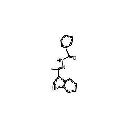 CC(=NNC(=O)c1ccccc1)c1c[nH]c2ccccc12